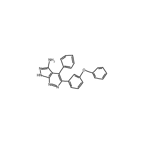 Nc1n[nH]c2nnc(-c3cccc(Oc4ccccc4)c3)c(-c3ccccc3)c12